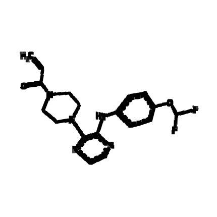 C=CC(=O)N1CCN(c2nccnc2Nc2ccc(OC(F)F)cc2)CC1